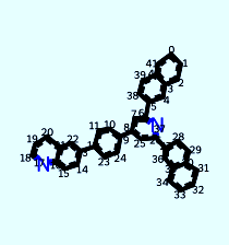 c1ccc2cc(-c3cc(-c4ccc(-c5ccc6ncccc6c5)cc4)cc(-c4ccc5ccccc5c4)n3)ccc2c1